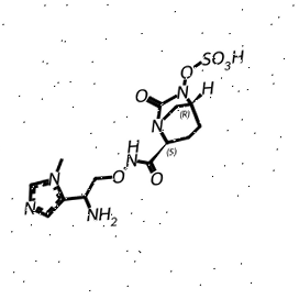 Cn1cncc1C(N)CONC(=O)[C@@H]1CC[C@@H]2CN1C(=O)N2OS(=O)(=O)O